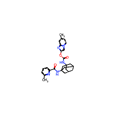 Cc1ccn2cc(OC(=O)NC34CC5CC(C3)CC(NC(=O)c3cccc(C)n3)(C5)C4)nc2c1